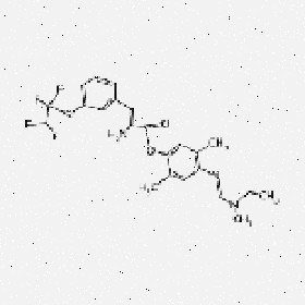 CCN(C)C=Nc1cc(C)c(OC(=O)[C@@H](N)Cc2cccc(SC(F)(F)C(F)F)c2)cc1C